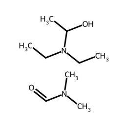 CCN(CC)C(C)O.CN(C)C=O